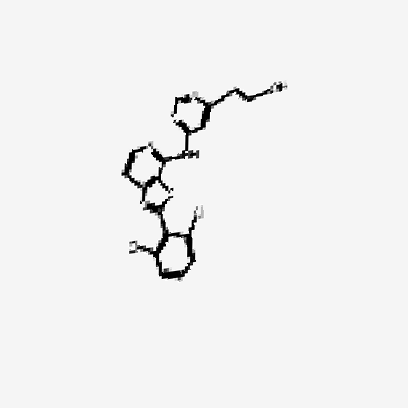 OCCc1cc(Nc2nccc3nc(-c4c(Cl)cccc4Cl)sc23)ncn1